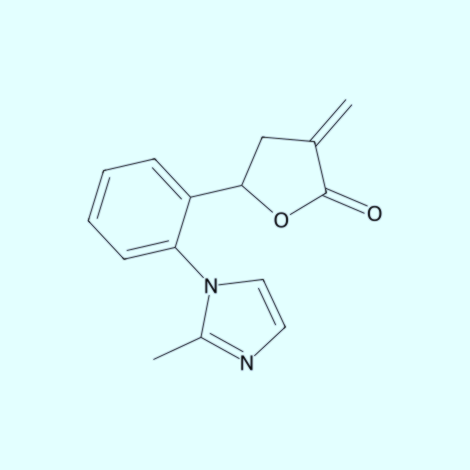 C=C1CC(c2ccccc2-n2ccnc2C)OC1=O